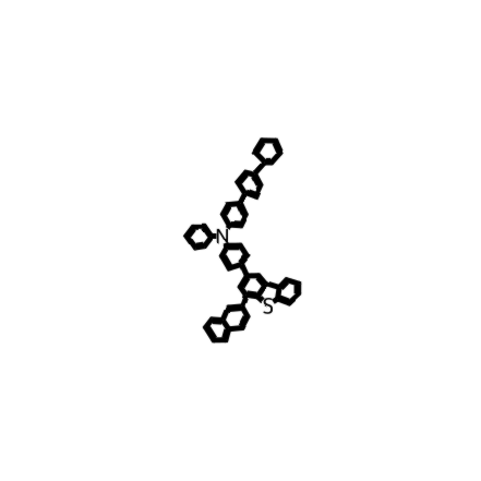 c1ccc(-c2ccc(-c3ccc(N(c4ccccc4)c4ccc(-c5cc(-c6ccc7ccccc7c6)c6sc7ccccc7c6c5)cc4)cc3)cc2)cc1